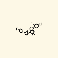 Cc1nc2c(c(-n3ccc(-c4ccc(F)cc4)n3)n1)CCN2c1ccc(Cl)cc1Cl